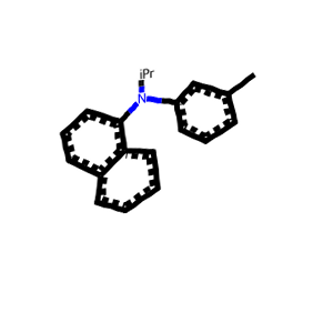 Cc1cccc(N(c2cccc3ccccc23)C(C)C)c1